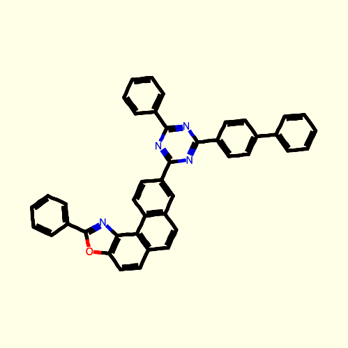 c1ccc(-c2ccc(-c3nc(-c4ccccc4)nc(-c4ccc5c(ccc6ccc7oc(-c8ccccc8)nc7c65)c4)n3)cc2)cc1